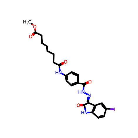 COC(=O)CCCCCCC(=O)Nc1ccc(C(=O)N/N=C2\C(=O)Nc3ccc(I)cc32)cc1